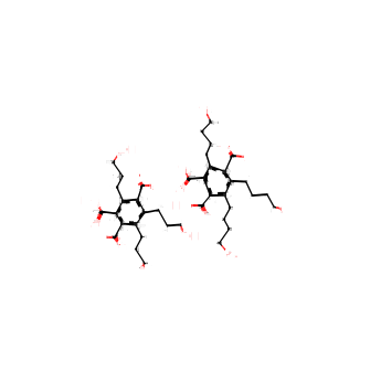 O=C(O)c1c(CCCCO)c(CCCCO)c(C(=O)O)c(C(=O)O)c1CCCCO.O=C(O)c1c(CCCO)c(CCCO)c(C(=O)O)c(C(=O)O)c1CCCO